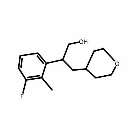 Cc1c(F)cccc1C(CO)CC1CCOCC1